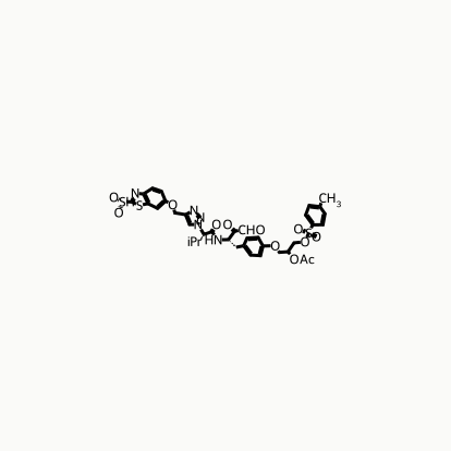 CC(=O)OC(COc1ccc(C[C@H](NC(=O)[C@H](C(C)C)n2cc(COc3ccc4nc([SH](=O)=O)sc4c3)nn2)C(=O)C=O)cc1)COS(=O)(=O)c1ccc(C)cc1